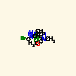 CC(N)c1ccccc1C(F)(F)F.CCNc1ccc(OC)c(Cl)c1.CCNc1cccc(Br)c1